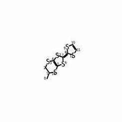 CC1CSC2=C(SC(=C3SC=CS3)S2)S1